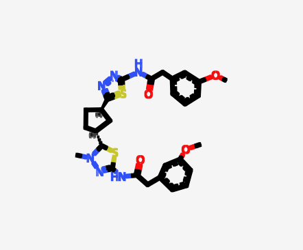 COc1cccc(CC(=O)NC2=NN(C)C([C@@H]3CC[C@@H](c4nnc(NC(=O)Cc5cccc(OC)c5)s4)C3)S2)c1